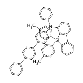 Cc1ccc([Si]2(c3ccc(C)cc3)c3ccccc3-c3cccc(N(c4ccccc4)c4ccc(-c5ccc(-c6ccccc6)cc5)cc4)c32)cc1